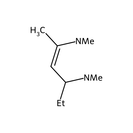 CCC(/C=C(/C)NC)NC